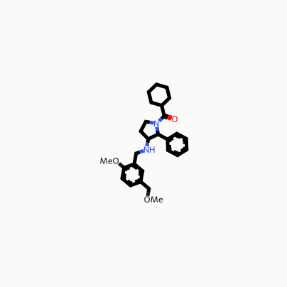 COCc1ccc(OC)c(CNC2CCN(C(=O)C3CCCCC3)C2c2ccccc2)c1